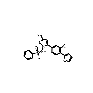 O=S(=O)(Nn1nc(C(F)(F)F)cc1-c1ccc(-c2ccco2)c(Cl)c1)c1ccccc1